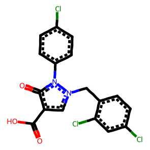 O=C(O)c1cn(Cc2ccc(Cl)cc2Cl)n(-c2ccc(Cl)cc2)c1=O